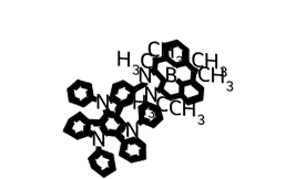 CC1(C)C2=CC=CC3C2B2C4C1=CC=CC4C(C)(C)C1N=C(c4ccc5c(c4)c4c6c(c7ccccc7n6-c6ccccc6)c6c(c7ccccc7n6-c6ccccc6)c4n5-c4ccccc4)N=C(C21)C3(C)C